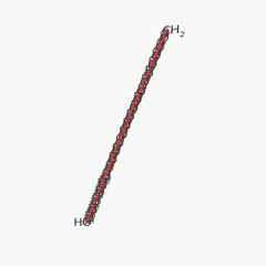 [CH2]COCCOCCOCCOCCOCCOCCOCCOCCOCCOCCOCCOCCOCCOCCOCCOCCOCCOCCOCCOCCOCCOCCOCCOCCOCCOCCOCCOCCOCCOCCOCCOCCOCCOCCOCCOCCOCCOCCOCCOCCOCCOCCOCCOCCO